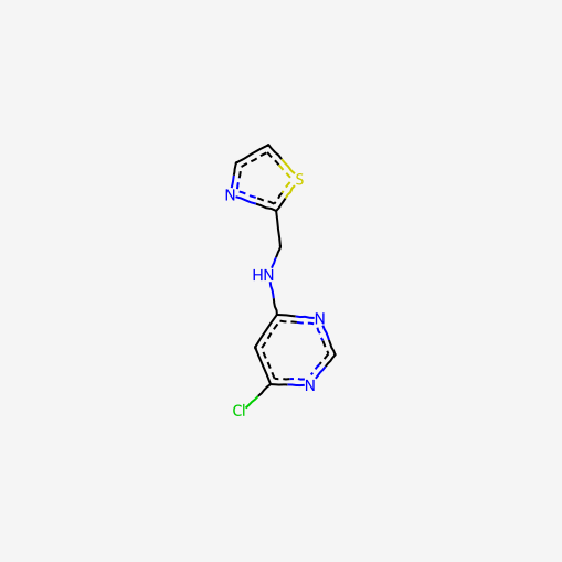 Clc1cc(NCc2nccs2)ncn1